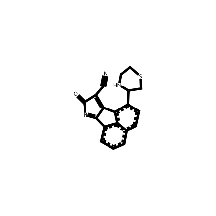 N#CC1=C2C(=NC1=O)c1cccc3ccc(C4CSCCN4)c2c13